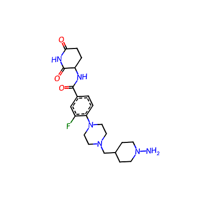 NN1CCC(CN2CCN(c3ccc(C(=O)NC4CCC(=O)NC4=O)cc3F)CC2)CC1